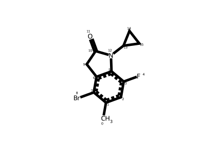 Cc1cc(F)c2c(c1Br)CC(=O)N2C1CC1